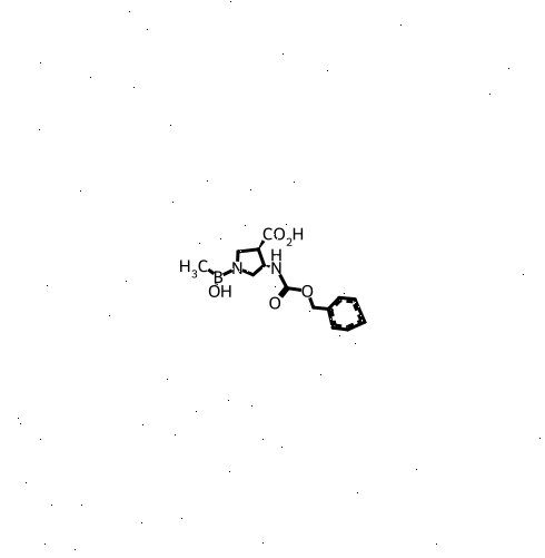 CB(O)N1C[C@@H](NC(=O)OCc2ccccc2)[C@H](C(=O)O)C1